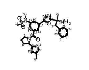 Cc1csc(C2CCCN2C(=O)c2cc(-c3nnc([C@](C)(N)Cc4ccccc4)o3)cc(N(C)S(C)(=O)=O)n2)n1